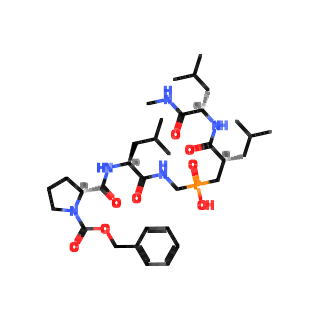 CNC(=O)[C@H](CC(C)C)NC(=O)[C@H](CC(C)C)CP(=O)(O)CNC(=O)[C@H](CC(C)C)NC(=O)[C@H]1CCCN1C(=O)OCc1ccccc1